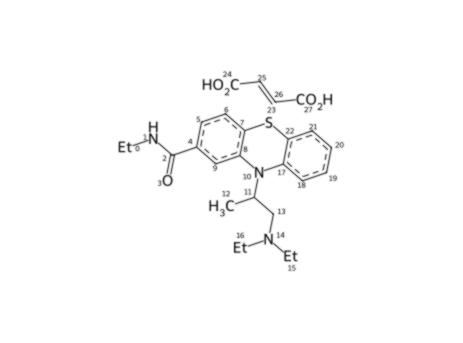 CCNC(=O)c1ccc2c(c1)N(C(C)CN(CC)CC)c1ccccc1S2.O=C(O)/C=C/C(=O)O